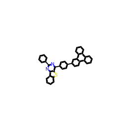 c1ccc(-c2nc(-c3ccc(-c4ccc5c6ccccc6c6ccccc6c5c4)cc3)c3sc4ccccc4c3n2)cc1